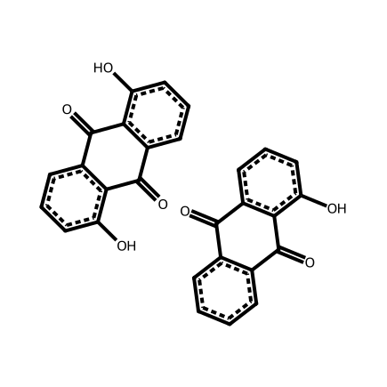 O=C1c2cccc(O)c2C(=O)c2cccc(O)c21.O=C1c2ccccc2C(=O)c2c(O)cccc21